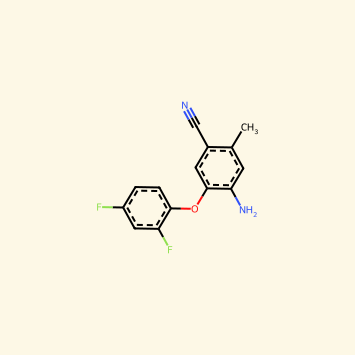 Cc1cc(N)c(Oc2ccc(F)cc2F)cc1C#N